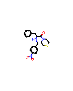 O=C(C(Cc1ccccc1)NCc1ccc([N+](=O)[O-])cc1)N1CCSCC1